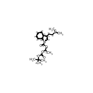 CC(OC(=O)OC(C)(C)C)OC(=O)n1cc(CCN(C)C)c2ccccc21